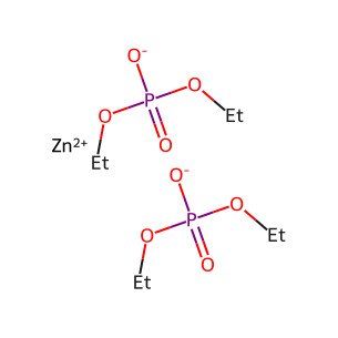 CCOP(=O)([O-])OCC.CCOP(=O)([O-])OCC.[Zn+2]